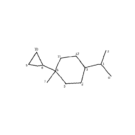 CC(C)C1[CH]CC(C)(C2CC2)CC1